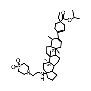 CCC1(C(=O)OC(C)C)CC=C(C2=CC[C@@]3(C)C(CCC4(C)C3CCC3C5CCCC5(NCCN5CCS(=O)(=O)CC5)CC[C@]34C)C2C)CC1